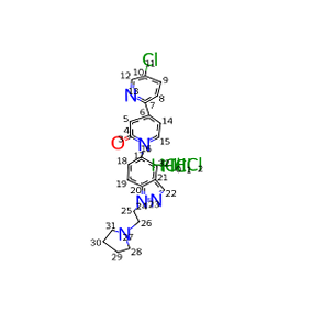 Cl.Cl.Cl.O=c1cc(-c2ccc(Cl)cn2)ccn1-c1ccc2c(cnn2CCN2CCCC2)c1